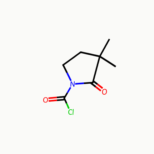 CC1(C)CCN(C(=O)Cl)C1=O